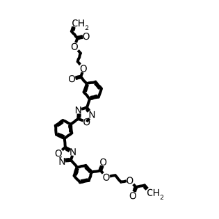 C=CC(=O)OCCOC(=O)c1cccc(-c2noc(-c3cccc(-c4nc(-c5cccc(C(=O)OCCOC(=O)C=C)c5)no4)c3)n2)c1